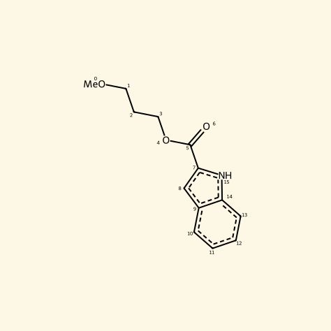 COCCCOC(=O)c1cc2ccccc2[nH]1